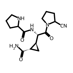 N#CC1CCCN1C(=O)[C@@H](NC(=O)C1CCCN1)[C@H]1C[C@@H]1C(N)=O